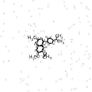 COc1cc2nc(C)nc(-c3ccc(C(C)C)cc3)c2cc1OC